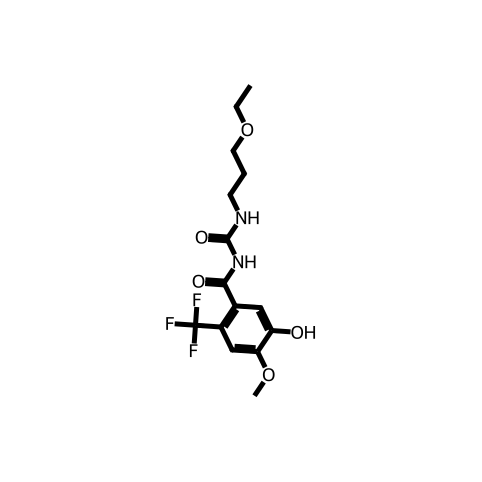 CCOCCCNC(=O)NC(=O)c1cc(O)c(OC)cc1C(F)(F)F